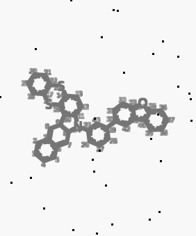 C1=c2ccccc2=CC2C1c1c(ccc3c1Sc1ccccc1S3)N2c1cccc(-c2ccc3oc4ccccc4c3c2)c1